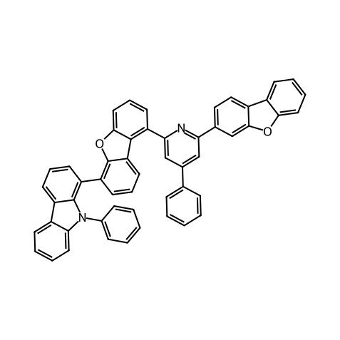 c1ccc(-c2cc(-c3ccc4c(c3)oc3ccccc34)nc(-c3cccc4oc5c(-c6cccc7c8ccccc8n(-c8ccccc8)c67)cccc5c34)c2)cc1